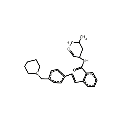 CC(C)CC(C=O)NC(=O)c1ccccc1C=Cc1ccc(CN2CCCCC2)cc1